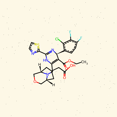 CCOC(=O)C1=C(CN2[C@@H]3COC[C@H]2CC(CC(=O)O)C3)NC(c2nccs2)=N[C@H]1c1ccc(F)c(F)c1Cl